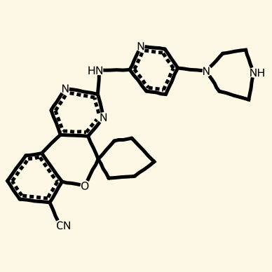 N#Cc1cccc2c1OC1(CCCCC1)c1nc(Nc3ccc(N4CCNCC4)cn3)ncc1-2